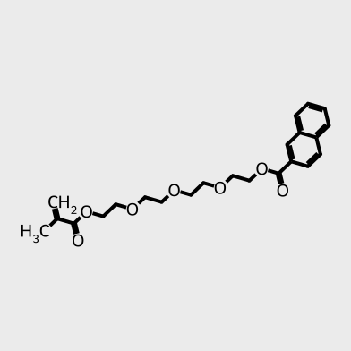 C=C(C)C(=O)OCCOCCOCCOCCOC(=O)c1ccc2ccccc2c1